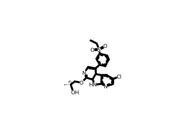 CCS(=O)(=O)c1cccc(C2=CN=C(OC[C@@H](C)O)C3Nc4ncc(Cl)cc4C23)c1